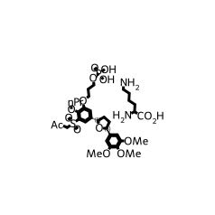 CCCOc1c(OCCCOP(=O)(O)O)cc([C@@H]2CC[C@@H](c3cc(OC)c(OC)c(OC)c3)O2)cc1S(=O)(=O)CC(C)=O.NCCCCC(N)C(=O)O